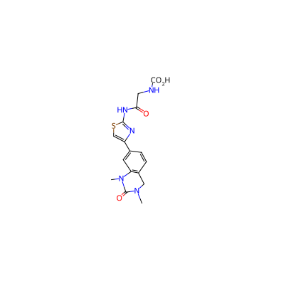 CN1Cc2ccc(-c3csc(NC(=O)CNC(=O)O)n3)cc2N(C)C1=O